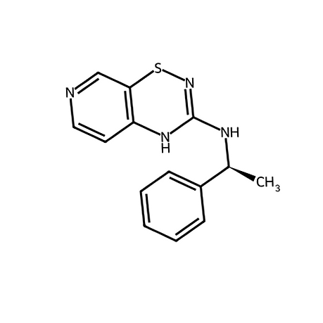 C[C@H](NC1=NSc2cnccc2N1)c1ccccc1